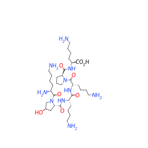 NCCCC[C@H](NC(=O)[C@@H]1CCCN1C(=O)[C@H](CCCCN)NC(=O)[C@H](CCCCN)NC(=O)[C@@H]1C[C@@H](O)CN1C(=O)[C@@H](N)CCCCN)C(=O)O